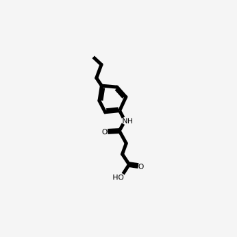 CCCc1ccc(NC(=O)CCC(=O)O)cc1